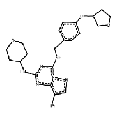 CC(C)c1cnn2c(NCc3ccc(OC4CCOC4)cc3)nc(NC3CCOCC3)nc12